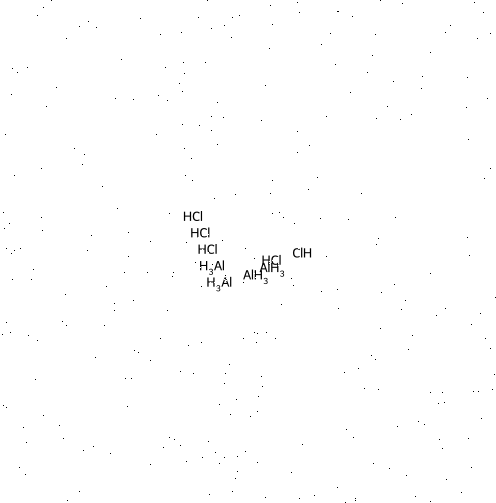 Cl.Cl.Cl.Cl.Cl.[AlH3].[AlH3].[AlH3].[AlH3]